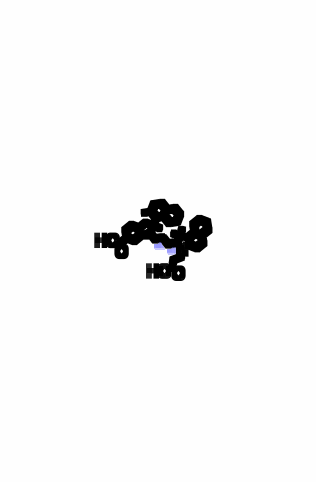 C=C(/C=C/C=C1/N(CCC(=O)O)c2ccc3ccccc3c2C1(C)C)C(C)(Cc1ccc(C(=O)O)cc1)c1c(C)ccc2ccccc12